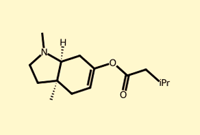 CC(C)CC(=O)OC1=CC[C@@]2(C)CCN(C)[C@H]2C1